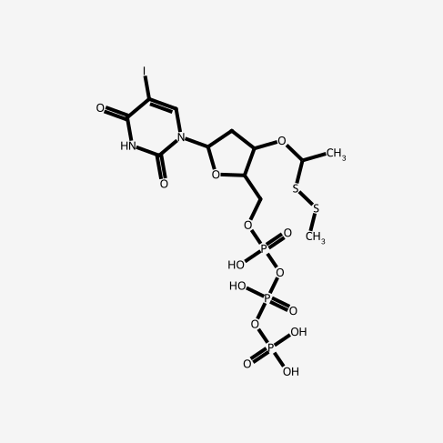 CSSC(C)OC1CC(n2cc(I)c(=O)[nH]c2=O)OC1COP(=O)(O)OP(=O)(O)OP(=O)(O)O